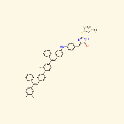 Cc1ccc(/C(=C/c2ccc(-c3ccc(/C(=C/c4ccc(Nc5ccc(/C=C6\N=C(SC(CC(=O)O)C(=O)O)NC6=O)cc5)cc4)c4ccccc4)cc3C)cc2)c2ccccc2)cc1C